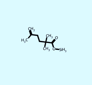 C=C(C)CCC(C)(C)C(=O)O[SiH3]